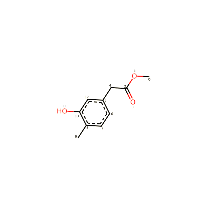 COC(=O)Cc1ccc(C)c(O)c1